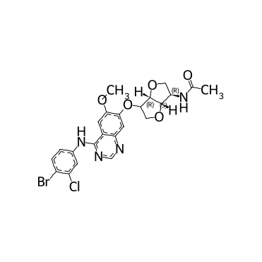 COc1cc2c(Nc3ccc(Br)c(Cl)c3)ncnc2cc1OC1CO[C@H]2[C@H](NC(C)=O)CO[C@@H]12